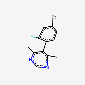 CCc1ccc(-c2c(C)n[c]nc2C)c(F)c1